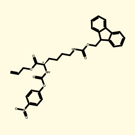 C=CCOC(=O)[C@@H](CCCCNC(=O)OCC1c2ccccc2-c2ccccc21)NC(=O)Oc1ccc([N+](=O)[O-])cc1